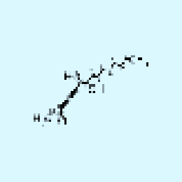 CCCCCC/C=C/C(O)C(O)C#CC#CC(=O)CC